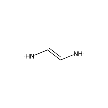 [NH]/C=C/[NH]